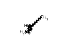 CCCCCCCCCCCc1c[nH]c2cc(C(=O)OC)ccc12